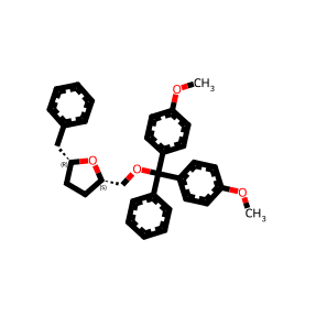 COc1ccc(C(OC[C@@H]2CC[C@H](Cc3ccccc3)O2)(c2ccccc2)c2ccc(OC)cc2)cc1